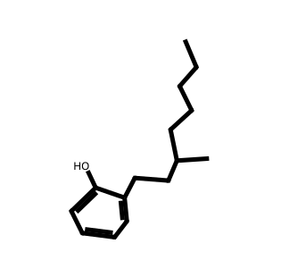 CCCCCC(C)CCc1ccccc1O